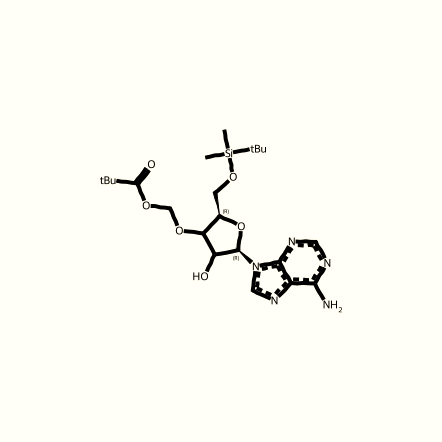 CC(C)(C)C(=O)OCOC1C(O)[C@H](n2cnc3c(N)ncnc32)O[C@@H]1CO[Si](C)(C)C(C)(C)C